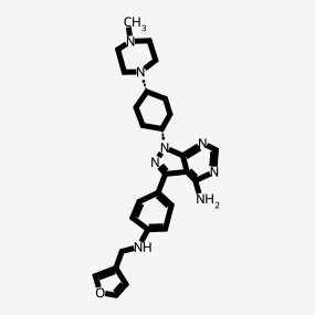 CN1CCN([C@H]2CC[C@@H](n3nc(-c4ccc(NCc5ccoc5)cc4)c4c(N)ncnc43)CC2)CC1